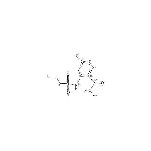 CCCS(=O)(=O)Nc1cc(C)ccc1C(=O)OC